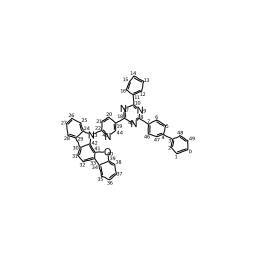 c1ccc(-c2ccc(-c3nc(-c4ccccc4)nc(-c4ccc(-n5c6ccccc6c6ccc7c8ccccc8oc7c65)nc4)n3)cc2)cc1